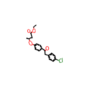 CCOC(=O)CC(C)Oc1ccc(C(=O)Cc2ccc(Cl)cc2)cc1